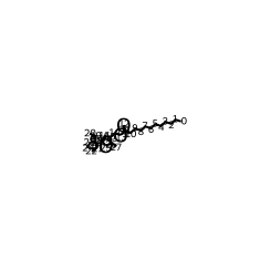 CCCCCCCCCCCC(=O)OCc1cc([Si](CC)(CC)CC)oc1C